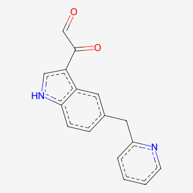 O=CC(=O)c1c[nH]c2ccc(Cc3ccccn3)cc12